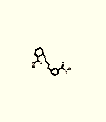 CCNC(=O)c1cccc(OCCOc2ccccc2C(=O)NCC)c1